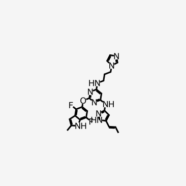 C/C=C/c1cc(Nc2cc(NCCCn3ccnc3)nc(Oc3cc(F)c4[nH]c(C)cc4c3F)n2)n[nH]1